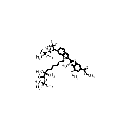 COC(=O)c1cc(OC)c2c(c1)nc(-c1cc3ccc(C(N[S+]([O-])C(C)(C)C)C(F)(F)F)nc3n1CCCCCCC(C)(C)C(=O)OC(C)(C)C)n2C